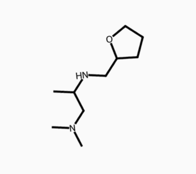 CC(CN(C)C)NCC1CCCO1